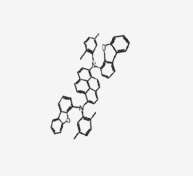 Cc1ccc(C)c(N(c2ccc3ccc4c(N(c5cc(C)ccc5C)c5cccc6c5oc5ccccc56)ccc5ccc2c3c54)c2cccc3c2oc2ccccc23)c1